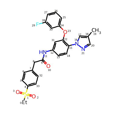 CCS(=O)(=O)c1ccc(CC(=O)Nc2ccc(-n3cc(C)cn3)c(Oc3cccc(F)c3)c2)cc1